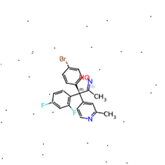 C/C(=N/O)[C@](c1ccc(Br)cc1)(c1ccnc(C)c1)c1ccc(F)cc1F